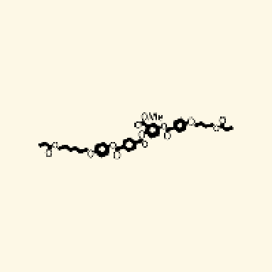 C=CC(=O)OCCCCCCOc1ccc(OC(=O)C2CCC(C(=O)Oc3ccc(OC(=O)c4ccc(OCCCCOC(=O)C=C)cc4)cc3C(=O)OC)CC2)cc1